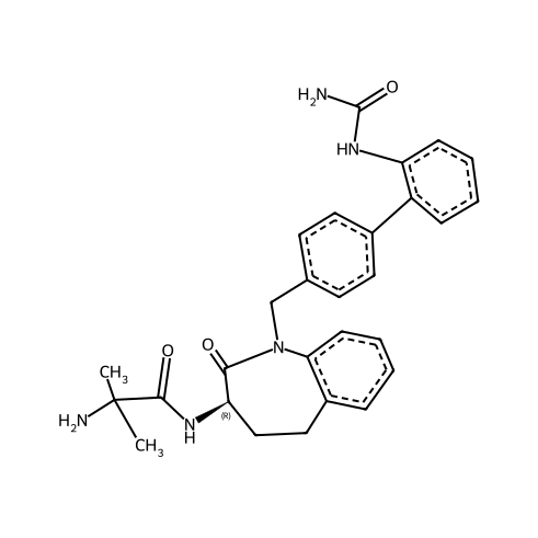 CC(C)(N)C(=O)N[C@@H]1CCc2ccccc2N(Cc2ccc(-c3ccccc3NC(N)=O)cc2)C1=O